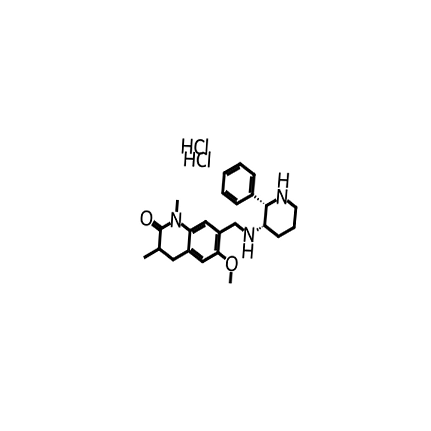 COc1cc2c(cc1CN[C@H]1CCCN[C@H]1c1ccccc1)N(C)C(=O)C(C)C2.Cl.Cl